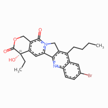 CCCCc1c2c(nc3ccc(Br)cc13)-c1cc3c(c(=O)n1C2)COC(=O)[C@]3(O)CC